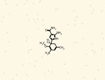 BC1=C(OC)C(C)(c2cc(C(N)=O)c(N)[nH]2)CC(C)=C1